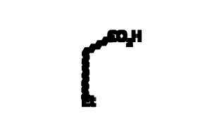 CCC=CCC=CCC=CCC=CC/C=C\CCCCCCCC(=O)O